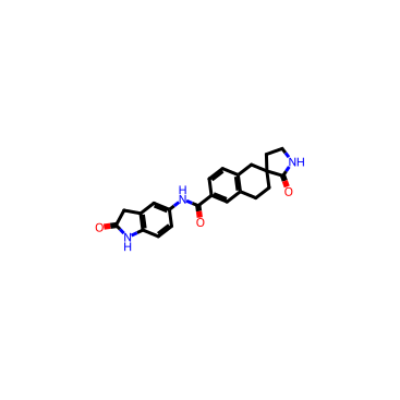 O=C1Cc2cc(NC(=O)c3ccc4c(c3)CCC3(CCNC3=O)C4)ccc2N1